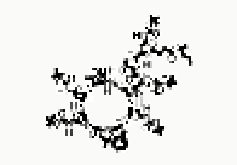 CCCC(C)OC(=O)CCC(=O)N[C@@H](CCNC(=O)OC(C)(C)C)C(=O)N[C@H](C(=O)N[C@@H](CNC(=O)OC(C)(C)C)C(=O)N[C@H]1CCNC(=O)[C@H](C(C)O)NC(=O)[C@H](CCNC(=O)OC(C)(C)C)NC(=O)[C@H](CCNC(=O)OC(C)(C)C)NC(=O)[C@H](CC(C)C)NC(=O)[C@@H](Cc2ccccc2)NC(=O)[C@H](CCNC(=O)OC(C)(C)C)NC1=O)C(C)O